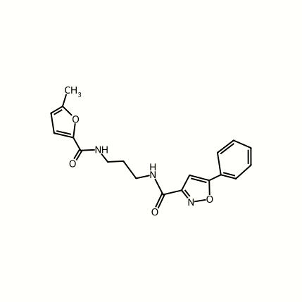 Cc1ccc(C(=O)NCCCNC(=O)c2cc(-c3ccccc3)on2)o1